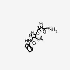 CC(C)Sc1c(OCC(C)(C)NC(=O)CN)noc1C(=O)NC1C2CC3CC(C2)CC1C3